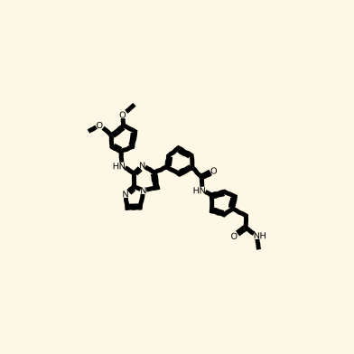 CNC(=O)Cc1ccc(NC(=O)c2cccc(-c3cn4ccnc4c(Nc4ccc(OC)c(OC)c4)n3)c2)cc1